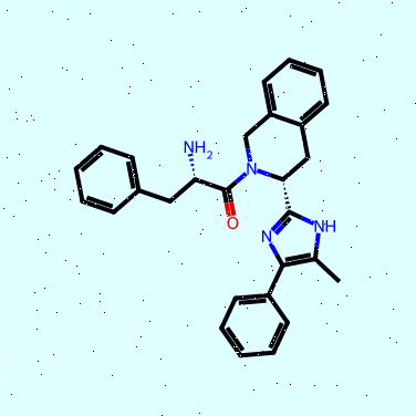 Cc1[nH]c([C@H]2Cc3ccccc3CN2C(=O)[C@@H](N)Cc2ccccc2)nc1-c1ccccc1